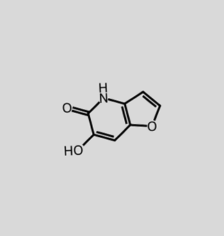 O=c1[nH]c2ccoc2cc1O